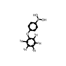 [2H]c1c([2H])c([2H])c(Oc2ccc(B(O)O)cc2)c([2H])c1[2H]